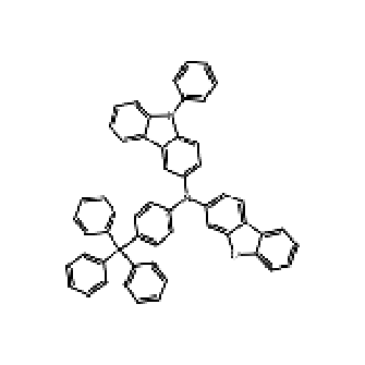 c1ccc(-n2c3ccccc3c3cc(N(c4ccc(C(c5ccccc5)(c5ccccc5)c5ccccc5)cc4)c4ccc5c(c4)oc4ccccc45)ccc32)cc1